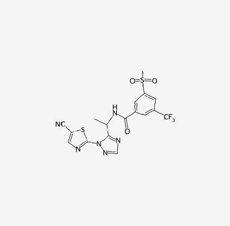 CC(NC(=O)c1cc(C(F)(F)F)cc(S(C)(=O)=O)c1)c1ncnn1-c1ncc(C#N)s1